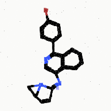 Brc1ccc(-c2ncc(/N=C3/C=CC4CN34)c3ccccc23)cc1